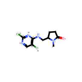 CN1C(=O)CCC1CNc1nc(Cl)ncc1Cl